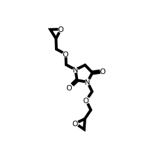 O=C1CN(COCC2CO2)C(=O)N1COCC1CO1